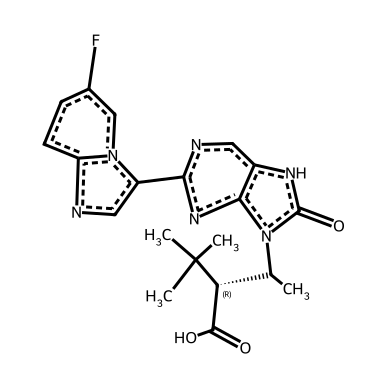 CC([C@H](C(=O)O)C(C)(C)C)n1c(=O)[nH]c2cnc(-c3cnc4ccc(F)cn34)nc21